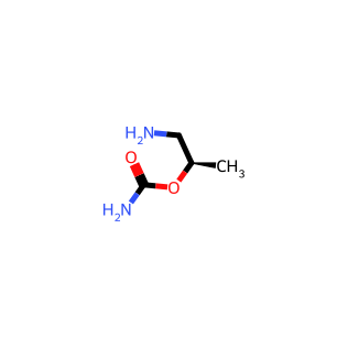 C[C@H](CN)OC(N)=O